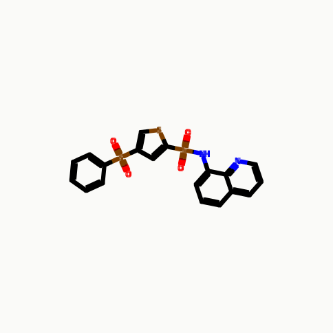 O=S(=O)(Nc1cccc2cccnc12)c1cc(S(=O)(=O)c2ccccc2)cs1